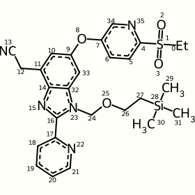 CCS(=O)(=O)c1ccc(Oc2cc(CC#N)c3nc(-c4ccccn4)n(COCC[Si](C)(C)C)c3c2)cn1